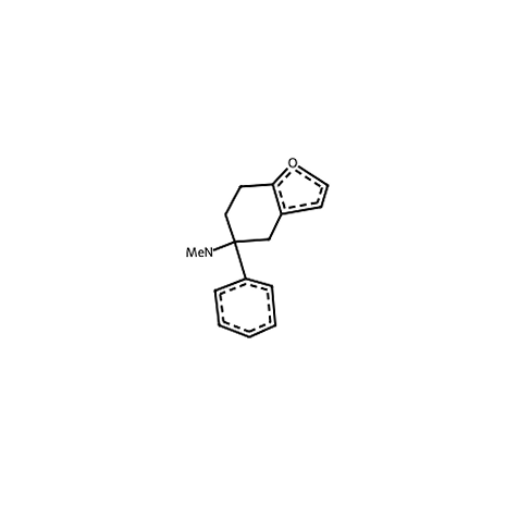 CNC1(c2ccccc2)CCc2occc2C1